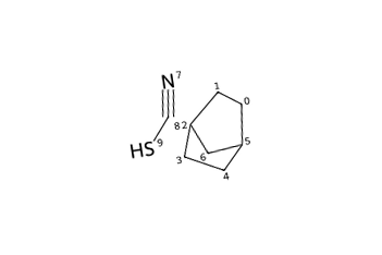 C1CC2CCC1C2.N#CS